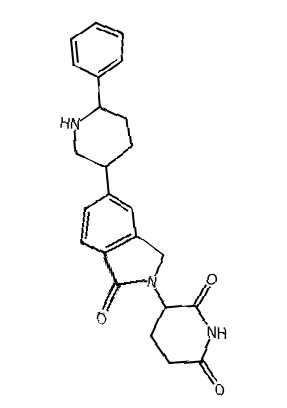 O=C1CCC(N2Cc3cc(C4CCC(c5ccccc5)NC4)ccc3C2=O)C(=O)N1